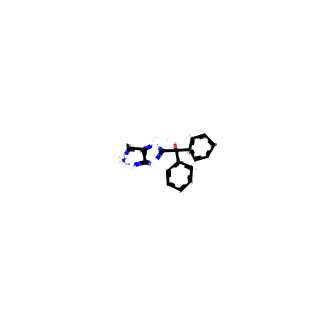 CCn1c(C(O)(c2ccccc2)c2ccccc2)nc2[nH]nc(C)c21